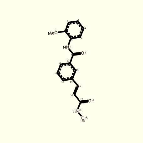 COc1ccccc1NC(=O)c1cccc(C=CC(=O)NO)c1